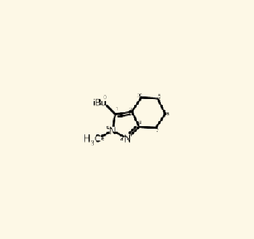 CCC(C)c1c2c(nn1C)CCCC2